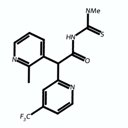 CNC(=S)NC(=O)C(c1cc(C(F)(F)F)ccn1)c1cccnc1C